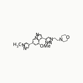 COc1cc(-c2cnn(C)c2)cn2ncc(-c3cn(CCN4CCOCC4)nn3)c12